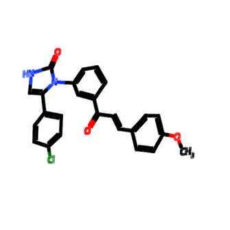 COc1ccc(/C=C/C(=O)c2cccc(-n3c(-c4ccc(Cl)cc4)c[nH]c3=O)c2)cc1